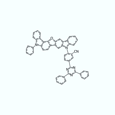 N#Cc1cc(-c2nc(-c3ccccc3)nc(-c3ccccc3)n2)ccc1-n1c2ccccc2c2cc3oc4c(ccc5c4c4ccccc4n5-c4ccccc4)c3cc21